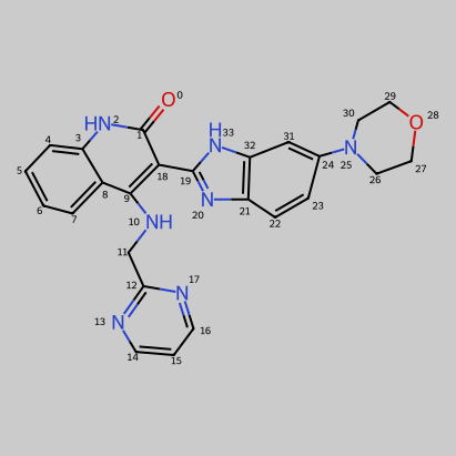 O=c1[nH]c2ccccc2c(NCc2ncccn2)c1-c1nc2ccc(N3CCOCC3)cc2[nH]1